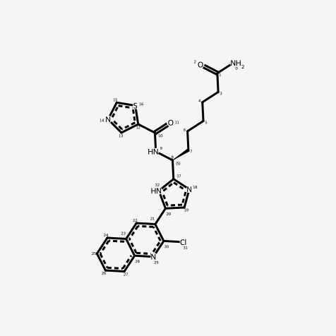 NC(=O)CCCCC[C@H](NC(=O)c1cncs1)c1ncc(-c2cc3ccccc3nc2Cl)[nH]1